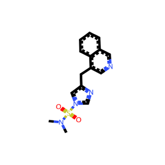 CN(C)S(=O)(=O)n1cnc(Cc2cncc3ccccc23)c1